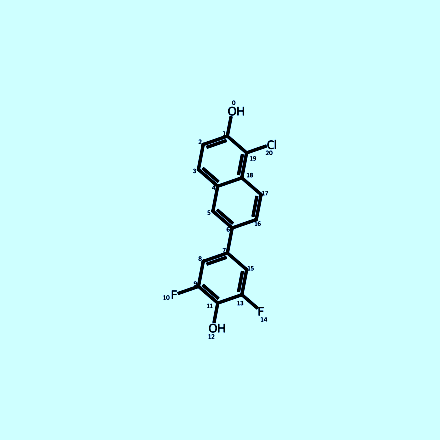 Oc1ccc2cc(-c3cc(F)c(O)c(F)c3)ccc2c1Cl